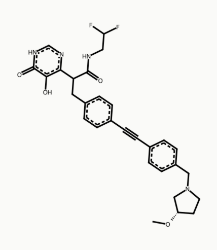 CO[C@H]1CCN(Cc2ccc(C#Cc3ccc(CC(C(=O)NCC(F)F)c4nc[nH]c(=O)c4O)cc3)cc2)C1